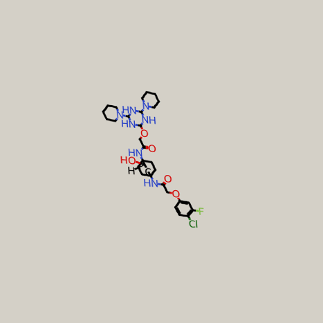 O=C(COc1ccc(Cl)c(F)c1)NC12CCC(NC(=O)COC3NC(N4CCCCC4)NC(N4CCCCC4)N3)(CC1)[C@@H](O)C2